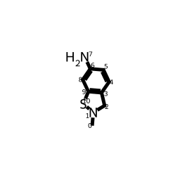 CN1Cc2ccc(N)cc2S1